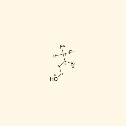 OCCC(Br)C(F)(F)F